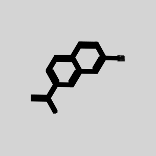 C=C(C)c1ccc2ccc(CC)cc2c1